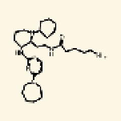 NCCCCC(=O)NCCC1C(Nc2nccc(N3CCCCCC3)n2)CCCN1C1CCCCC1